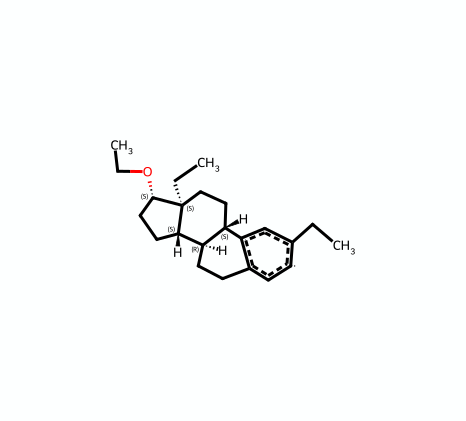 CCO[C@H]1CC[C@H]2[C@@H]3CCc4c[c]c(CC)cc4[C@H]3CC[C@]12CC